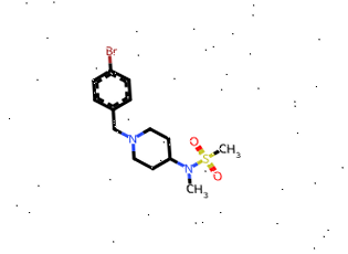 CN(C1CCN(Cc2ccc(Br)cc2)CC1)S(C)(=O)=O